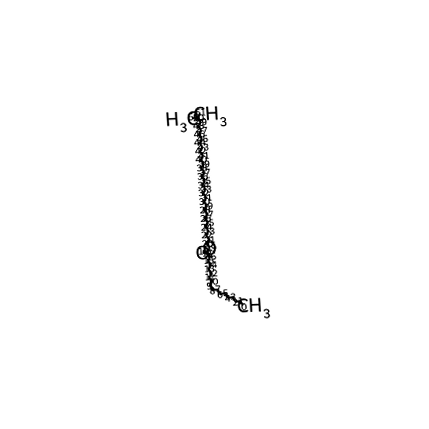 CCCCCCCC/C=C\CCCCCCCC(=O)OCCCCCCCCCCCCCCCCCCCCCCCCCCCCCCC(C)C